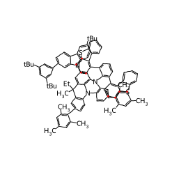 CCC1(C)c2cc(-c3c(C)cc(C)cc3C)ccc2N2c3ccc(-c4c(C)cc(C)cc4C)cc3N(c3c(-c4cccc5sc6ccccc6c45)cccc3-c3cccc4sc5ccccc5c34)c3cc(-n4c5ccc(C(C)(C)C)cc5c5ccc(-c6cc(C(C)(C)C)cc(C(C)(C)C)c6)cc54)cc1c32